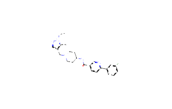 CCn1ncc(CN2CCC(NC(=O)c3ccc(-c4cccc(F)c4)nc3)CC2)c1C